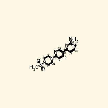 CS(=O)(=O)N1CCN(c2ccc(-c3ccnc(N)n3)cn2)CC1